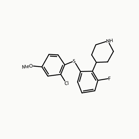 COc1ccc(Sc2cccc(F)c2C2CCNCC2)c(Cl)c1